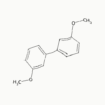 COc1[c]ccc(-c2cccc(OC)c2)c1